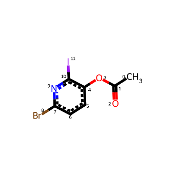 CC(=O)Oc1ccc(Br)nc1I